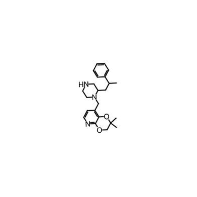 CC(CC1CNCCN1Cc1ccnc2c1OC(C)(C)CO2)c1ccccc1